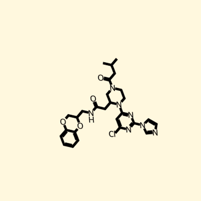 CC(C)CC(=O)N1CCN(c2cc(Cl)nc(-n3ccnc3)n2)C(CC(=O)NCC2COc3ccccc3O2)C1